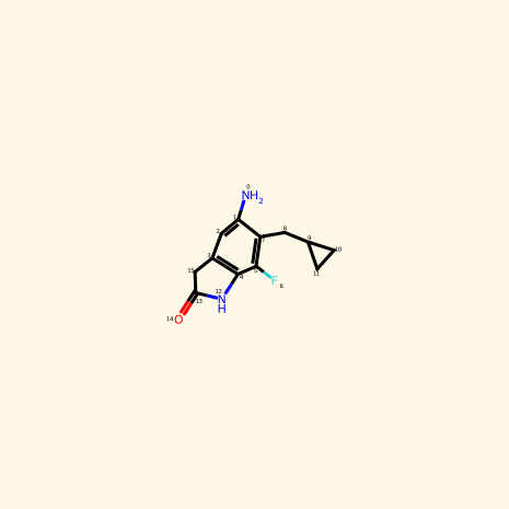 Nc1cc2c(c(F)c1CC1CC1)NC(=O)C2